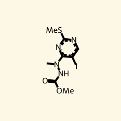 COC(=O)NN(C)c1nc(SC)ncc1I